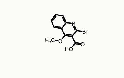 COc1c(C(=O)O)c(Br)nc2ccccc12